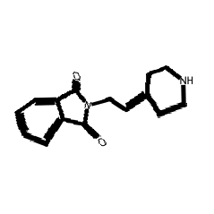 O=C1c2ccccc2C(=O)N1CC=C1CCNCC1